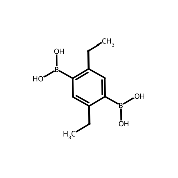 CCc1cc(B(O)O)c(CC)cc1B(O)O